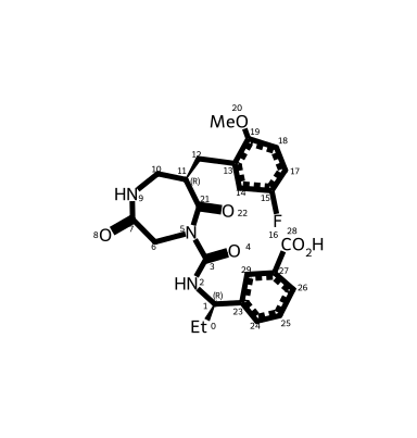 CC[C@@H](NC(=O)N1CC(=O)NC[C@@H](Cc2cc(F)ccc2OC)C1=O)c1cccc(C(=O)O)c1